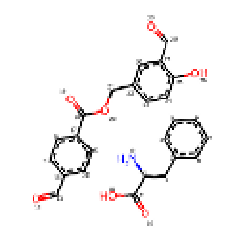 N[C@@H](Cc1ccccc1)C(=O)O.O=Cc1ccc(C(=O)OCc2ccc(O)c(C=O)c2)cc1